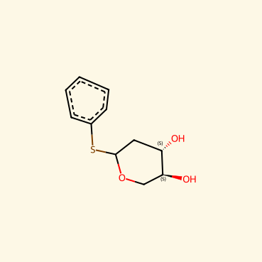 O[C@H]1COC(Sc2ccccc2)C[C@@H]1O